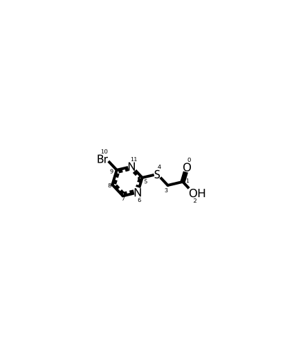 O=C(O)CSc1nccc(Br)n1